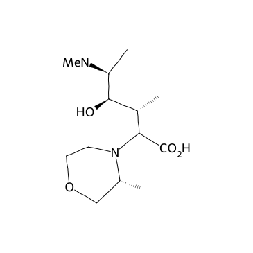 CN[C@@H](C)[C@H](O)[C@H](C)C(C(=O)O)N1CCOC[C@H]1C